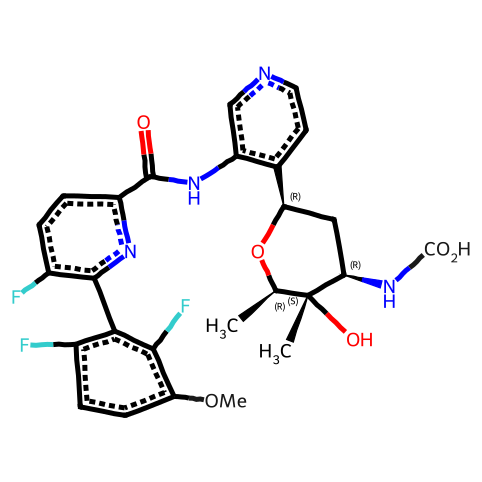 COc1ccc(F)c(-c2nc(C(=O)Nc3cnccc3[C@H]3C[C@@H](NC(=O)O)[C@](C)(O)[C@@H](C)O3)ccc2F)c1F